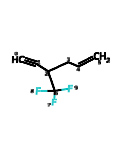 C#CC(CC=C)C(F)(F)F